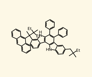 CCC(C)(C)Cc1ccc2[nH]c3c(c(-c4ccccc4)c(-c4ccccc4)c4[nH]c5c(C(C)(c6c7ccccc7cc7ccccc67)C(C)(CC)CC)cccc5c43)c2c1